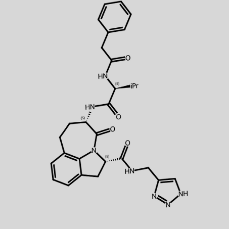 CC(C)[C@H](NC(=O)Cc1ccccc1)C(=O)N[C@H]1CCc2cccc3c2N(C1=O)[C@H](C(=O)NCc1c[nH]nn1)C3